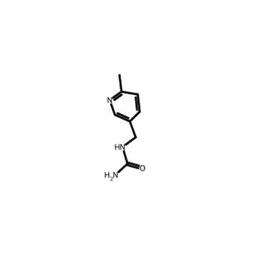 Cc1ccc(CNC(N)=O)cn1